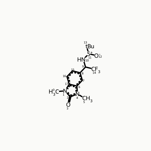 Cn1c(=O)n(C)c2cc(C(N[S+]([O-])C(C)(C)C)C(F)(F)F)ccc21